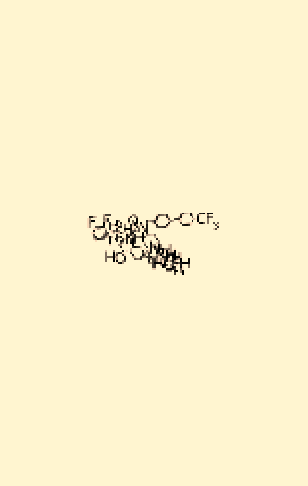 [2H]C([2H])([2H])OC([2H])([2H])C([2H])([2H])N1CCC(N(Cc2ccc(-c3ccc(C(F)(F)F)cc3)cc2)C(=O)C([2H])([2H])N2C(SC([2H])([2H])c3cccc(F)c3F)=CC(O)c3ccccc32)CC1